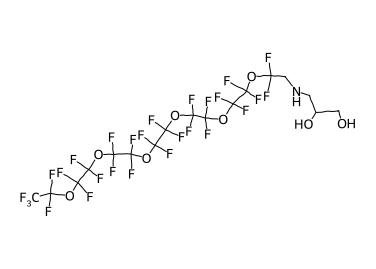 OCC(O)CNCC(F)(F)OC(F)(F)C(F)(F)OC(F)(F)C(F)(F)OC(F)(F)C(F)(F)OC(F)(F)C(F)(F)OC(F)(F)C(F)(F)OC(F)(F)C(F)(F)F